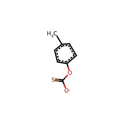 Cc1ccc(OC([O])=S)cc1